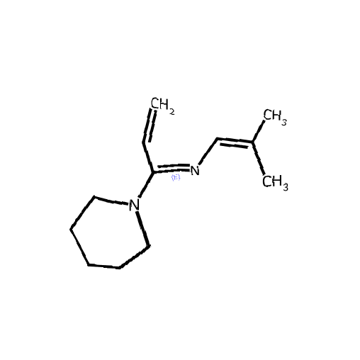 C=C/C(=N\C=C(C)C)N1CCCCC1